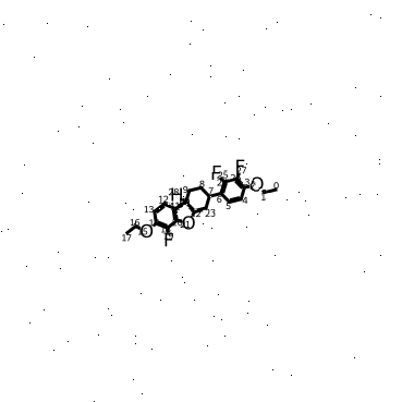 CCOc1ccc(C2CC[C@H]3c4ccc(OCC)c(F)c4OC3C2)c(F)c1F